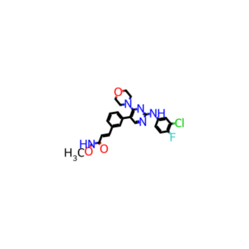 CONC(=O)C=Cc1cccc(-c2cnc(Nc3ccc(F)c(Cl)c3)nc2N2CCOCC2)c1